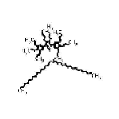 CCCCC1=C(c2cc(CCC)c(CCC)c(CCC)c2)[N+](=[N-])C(c2cc(CCCC)c(CCCC)c(CCCC)c2)=C1CCCC.CCCCCCCCCCCCCCC[CH2][Ni][CH2]CCCCCCCCCCCCCCC